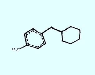 Cc1ccc([CH]C2CCCCC2)cc1